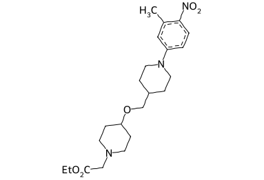 CCOC(=O)CN1CCC(OCC2CCN(c3ccc([N+](=O)[O-])c(C)c3)CC2)CC1